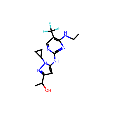 CCNc1nc(Nc2cc(C(C)O)nn2C2CC2)ncc1C(F)(F)F